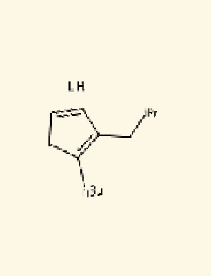 CCCCC1=C(CC(C)C)C=CC1.[LiH]